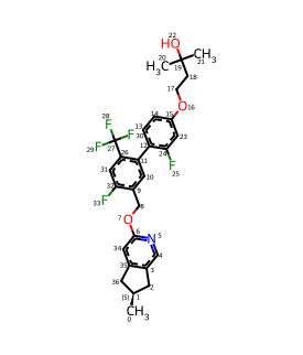 C[C@@H]1Cc2cnc(OCc3cc(-c4ccc(OCCC(C)(C)O)cc4F)c(C(F)(F)F)cc3F)cc2C1